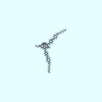 C=CCCCCCCOC1CCC(COc2ccc(/C=C/C(=O)C(O)C(c3ccc(N)cc3N)C(O)C(=O)/C=C/c3ccc(OCC4CCC(OCCCCCCC=C)CC4)cc3)cc2)CC1